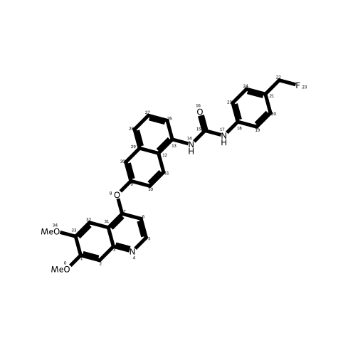 COc1cc2nccc(Oc3ccc4c(NC(=O)Nc5ccc(CF)cc5)cccc4c3)c2cc1OC